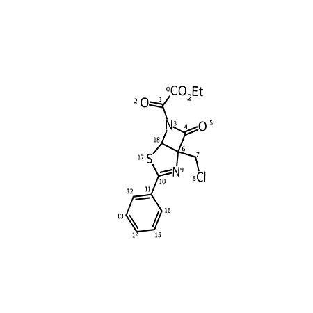 CCOC(=O)C(=O)N1C(=O)C2(CCl)N=C(c3ccccc3)SC12